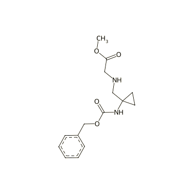 COC(=O)CNCC1(NC(=O)OCc2ccccc2)CC1